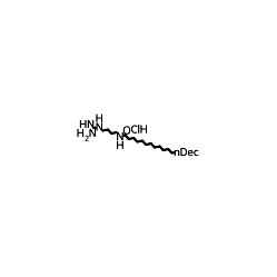 CCCCCCCCCCCCCCCCCCCCCC(=O)NCCCCNC(=N)N.Cl